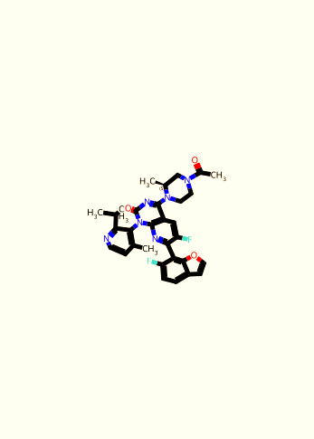 CC(=O)N1CCN(c2nc(=O)n(-c3c(C)ccnc3C(C)C)c3nc(-c4c(F)ccc5ccoc45)c(F)cc23)[C@@H](C)C1